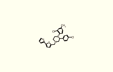 Cc1ccc(N2CCN(Cc3ccc(-c4cccs4)s3)CC2c2ccc(Cl)cc2)c(Cl)c1